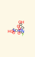 CC(C)(C)N(C(=O)O)[C@H]1CC[C@@H](n2c(=O)c3cc(F)cnc3n(-c3cccc(-c4ccc(O)cc4C=O)c3)c2=O)CC1